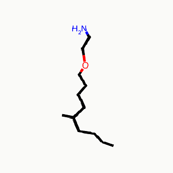 CCCCC(C)CCCCOCCN